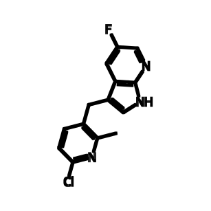 Cc1nc(Cl)ccc1Cc1c[nH]c2ncc(F)cc12